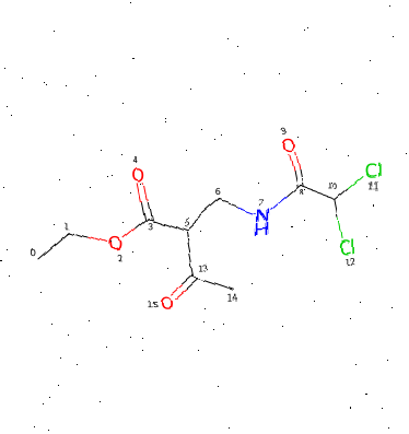 CCOC(=O)C(CNC(=O)C(Cl)Cl)C(C)=O